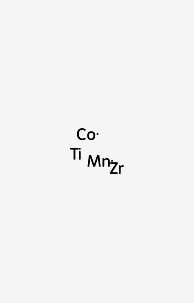 [Co].[Mn].[Ti].[Zr]